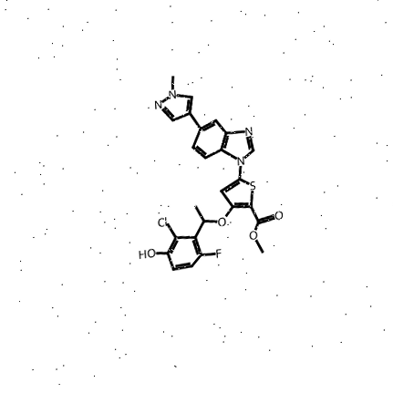 COC(=O)c1sc(-n2cnc3cc(-c4cnn(C)c4)ccc32)cc1OC(C)c1c(F)ccc(O)c1Cl